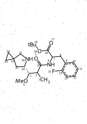 COC(C(C)C(=O)NC(Cc1ccccc1F)C(=O)OC(C)(C)C)[C@@H]1CC2(CC2)CN1